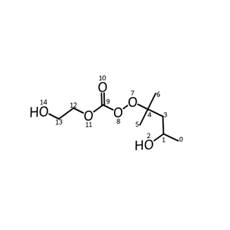 CC(O)CC(C)(C)OOC(=O)OCCO